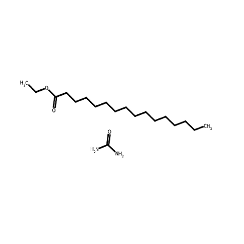 CCCCCCCCCCCCCCCC(=O)OCC.NC(N)=O